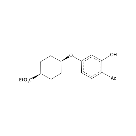 CCOC(=O)[C@H]1CC[C@@H](Oc2ccc(C(C)=O)c(O)c2)CC1